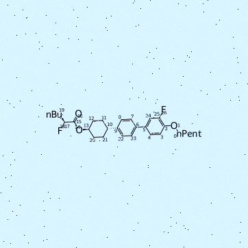 CCCCCOc1ccc(-c2ccc([C@H]3CC[C@H](OC(=O)[C@@H](F)CCCC)CC3)cc2)cc1F